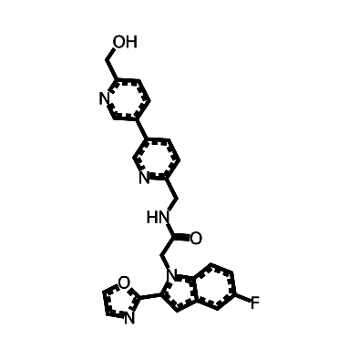 O=C(Cn1c(-c2ncco2)cc2cc(F)ccc21)NCc1ccc(-c2ccc(CO)nc2)cn1